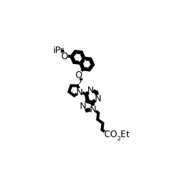 CCOC(=O)CCCCn1cnc2c(N3CCC[C@@H]3COc3cccc4ccc(OC(C)C)cc34)ncnc21